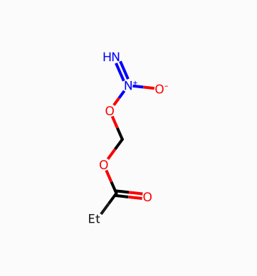 CCC(=O)OCO[N+](=N)[O-]